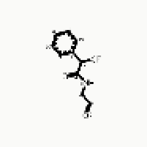 O=[C]CNC(=O)C(Cl)c1ccccc1